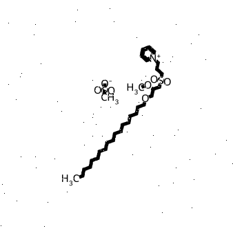 CCCCCCCCCCCCCCCCCCOCC(CS(=O)(=O)CCC[n+]1ccccc1)OC.CS(=O)(=O)[O-]